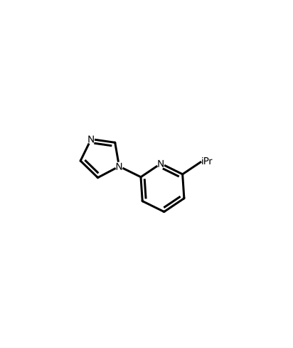 CC(C)c1cccc(-n2ccnc2)n1